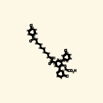 O=C(O)COc1c(-c2cccc(Cl)c2)cc(C(=O)NCCCCCCCC[S+]([O-])c2ccc(Cl)cc2)cc1-c1cccc(Cl)c1